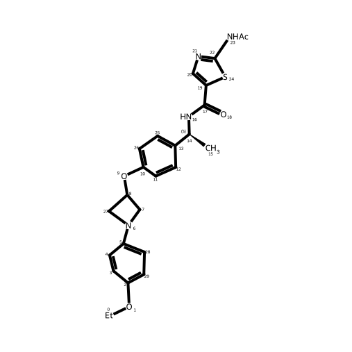 CCOc1ccc(N2CC(Oc3ccc([C@H](C)NC(=O)c4cnc(NC(C)=O)s4)cc3)C2)cc1